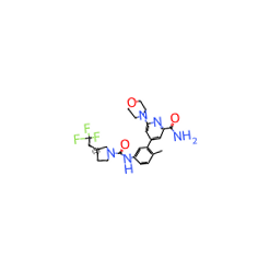 Cc1ccc(NC(=O)N2CC[C@@H](CC(F)(F)F)C2)cc1-c1cc(C(N)=O)nc(N2CCOCC2)c1